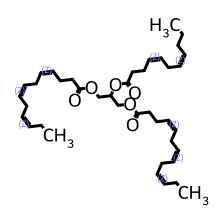 CC/C=C\C/C=C\C/C=C\CCC(=O)OCC(COC(=O)CC/C=C\C/C=C\C/C=C\CC)OC(=O)CC/C=C\C/C=C\CCC